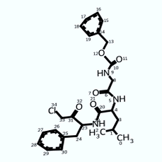 CC(C)CC(NC(=O)CNC(=O)OCc1ccccc1)C(=O)NC(Cc1ccccc1)C(=O)CCl